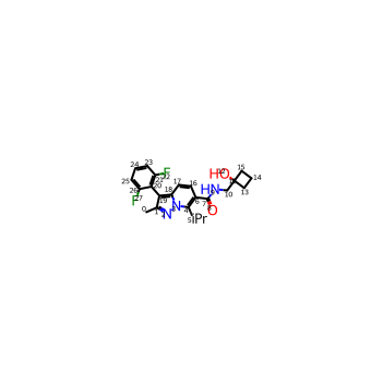 Cc1nn2c(C(C)C)c(C(=O)NCC3(O)CCC3)ccc2c1-c1c(F)cccc1F